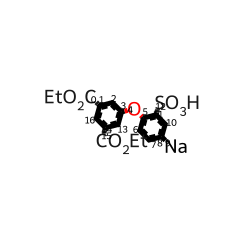 CCOC(=O)c1cc(Oc2cc[c]([Na])cc2S(=O)(=O)O)cc(C(=O)OCC)c1